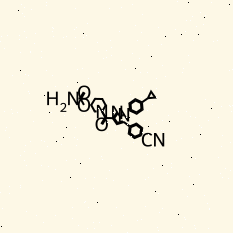 N#Cc1ccc(-c2cc(C(=O)N3CCCC(OC(N)=O)C3)nn2-c2ccc(C3CC3)cc2)cc1